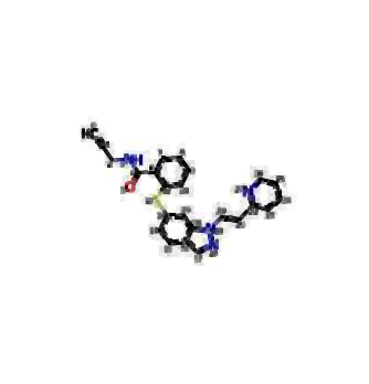 C#CCNC(=O)c1ccccc1Sc1ccc2cnn(C=Cc3ccccn3)c2c1